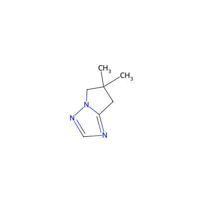 CC1(C)Cc2ncnn2C1